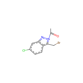 CC(=O)n1nc2cc(Cl)ccc2c1CBr